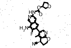 Cc1c(-c2cc3cc(NC(=O)OC4CCOC4)ncc3c(N)c2F)cnc2c1[C@H](C#N)CCO2